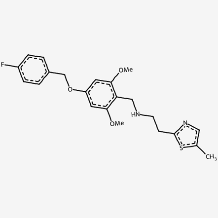 COc1cc(OCc2ccc(F)cc2)cc(OC)c1CNCCc1ncc(C)s1